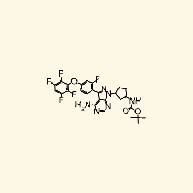 CC(C)(C)OC(=O)NC1CC[C@H](n2nc(-c3ccc(Oc4c(F)c(F)cc(F)c4F)cc3F)c3c(N)ncnc32)C1